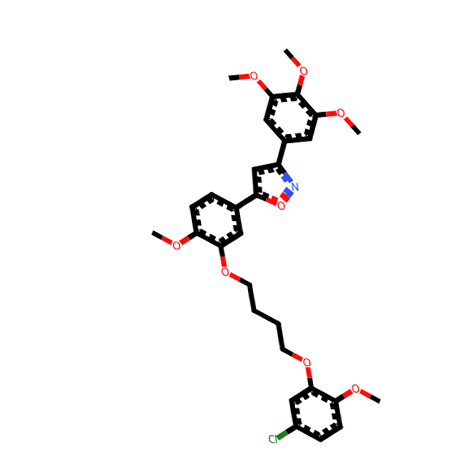 COc1[c]cc(Cl)cc1OCCCCOc1cc(-c2cc(-c3cc(OC)c(OC)c(OC)c3)no2)ccc1OC